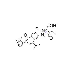 CCN(C=O)/C(CO)=N\N(C)c1cc2c(C(C)C)cn(-c3csnc3C)c(=O)c2cc1F